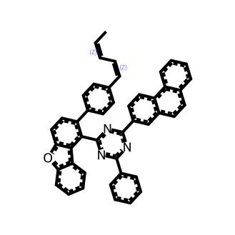 C/C=C\C=C/c1ccc(-c2ccc3oc4ccccc4c3c2-c2nc(-c3ccccc3)nc(-c3ccc4c(ccc5ccccc54)c3)n2)cc1